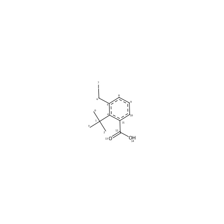 CC(C)(C)c1c(CI)cccc1C(=O)O